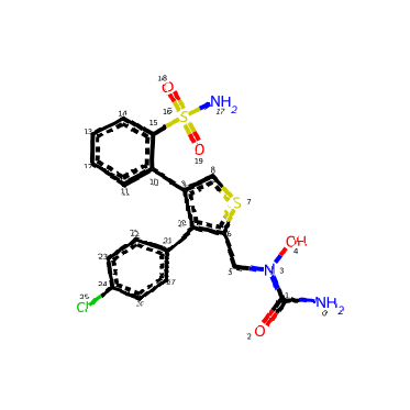 NC(=O)N(O)Cc1scc(-c2ccccc2S(N)(=O)=O)c1-c1ccc(Cl)cc1